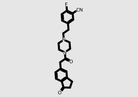 N#Cc1cc(CCN2CCN(C(=O)Cc3ccc4c(c3)CCC4=O)CC2)ccc1F